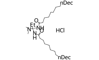 CCCCCCCCCCCCCCCCCC(=O)NC(CC)(NC(=O)CCCCCCCCCCCCCCCCC)N(C)C.Cl